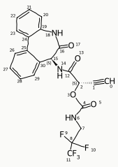 C#C[C@H](OC(=O)NCC(F)(F)C(F)(F)F)C(=O)N[C@@H]1C(=O)Nc2ccccc2-c2ccccc21